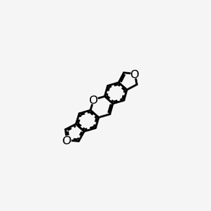 C1=c2cc3c(cc2CO1)=Cc1cc2cocc2cc1O3